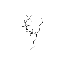 CCCCN(CCCC)[Si](C)(C)O[Si](C)(C)O[Si](C)(C)C